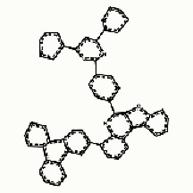 c1ccc(-c2cc(-c3ccccc3)nc(-c3ccc(-c4nc5c(-c6ccc7c8ccccc8c8ccccc8c7c6)cccc5c5c4oc4ccccc45)cc3)n2)cc1